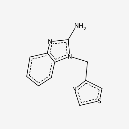 Nc1nc2ccccc2n1Cc1cscn1